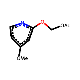 COc1ccnc(OCOC(C)=O)c1